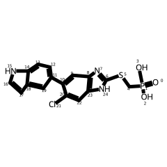 O=P(O)(O)CSc1nc2cc(-c3ccc4[nH]ccc4c3)c(Cl)cc2[nH]1